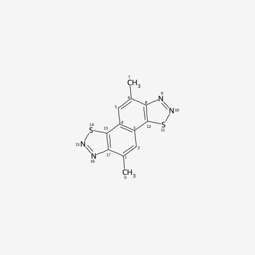 Cc1cc2c(cc(C)c3nnsc32)c2snnc12